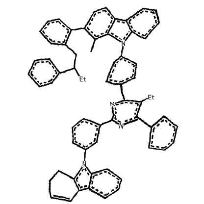 CCc1c(-c2ccccc2)nc(-c2cccc(-n3c4c(c5ccccc53)C=CCC4)c2)nc1-c1ccc(-n2c3ccccc3c3ccc(-c4ccccc4CC(CC)c4ccccc4)c(C)c32)cc1